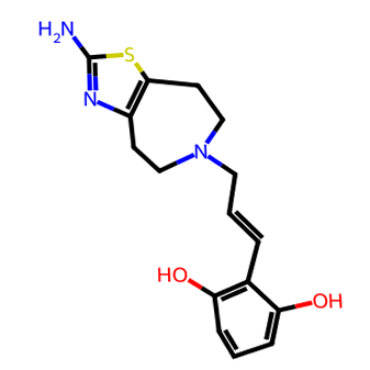 Nc1nc2c(s1)CCN(C/C=C/c1c(O)cccc1O)CC2